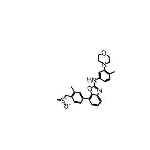 Cc1cc(-c2cccc3nc(Nc4ccc(C)c(N5CCOCC5)c4)oc23)ccc1C[S+](C)[O-]